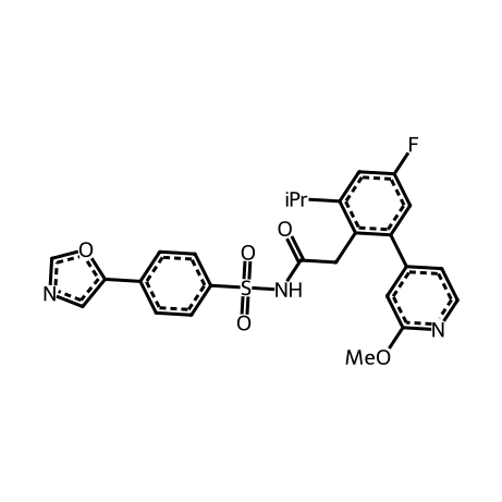 COc1cc(-c2cc(F)cc(C(C)C)c2CC(=O)NS(=O)(=O)c2ccc(-c3cnco3)cc2)ccn1